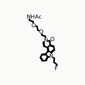 CC(=O)NCCOCCOCCn1ccc2c(ccc3c2c2ccccc2n3CCCF)c1=O